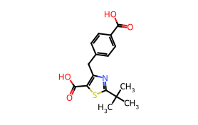 CC(C)(C)c1nc(Cc2ccc(C(=O)O)cc2)c(C(=O)O)s1